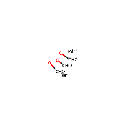 O=C[O-].O=C[O-].O=C[O-].[Na+].[Pd+2]